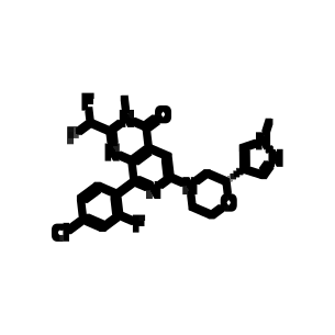 Cn1cc([C@H]2CN(c3cc4c(=O)n(C)c(C(F)F)nc4c(-c4ccc(Cl)cc4F)n3)CCO2)cn1